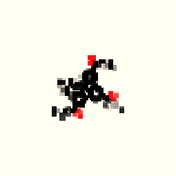 CC(=O)c1ccc(C(c2ccc(C(C)=O)cc2)(c2ccc(C(C)=O)cc2)C(C)(C)C)cc1